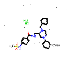 COc1cccc(N2CCN(Cc3ccccc3)C(CNC(=O)c3ccc(NS(C)(=O)=O)cc3)C2)c1.Cl.Cl